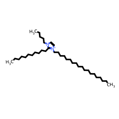 CCCCCCCCCCCCCCCCCCC[n+]1ccn(CCCCC)c1CCCCCCCCCCC